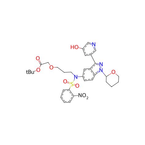 CC(C)(C)OC(=O)COCCCN(c1ccc2c(c1)c(-c1cncc(O)c1)nn2C1CCCCO1)S(=O)(=O)c1ccccc1[N+](=O)[O-]